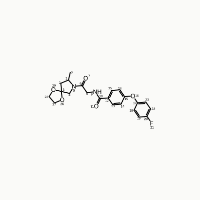 CC1CC2(CN1C(=O)CNC(=O)c1ccc(Oc3ccc(F)cc3)cc1)OCCO2